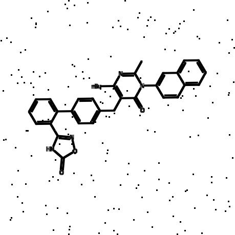 CCCCc1nc(C)n(-c2ccc3ccccc3c2)c(=O)c1Cc1ccc(-c2ccccc2-c2noc(=O)[nH]2)cc1